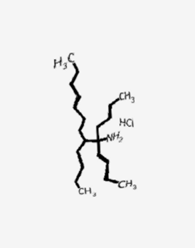 CCCCCCCC(CCCC)C(N)(CCCC)CCCC.Cl